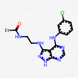 CCC(=O)NCCNc1n[nH]c2ncnc(Nc3cccc(Cl)c3)c12